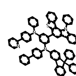 c1ccc(-c2ccc(N(c3cc(-c4cc5c6ccccc6n(-c6ccccc6)c5c5c4sc4ccccc45)cc(N(c4ccccc4)c4ccc(-c5ccccn5)cc4)c3)c3ccc4c(c3)-c3ccccc3C4(c3ccccc3)c3ccccc3)cc2)cc1